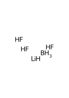 B.F.F.F.[LiH]